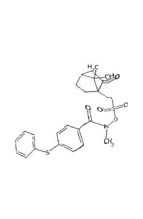 CN(OS(=O)(=O)CC12CCC(CC1=O)C2(C)C)C(=O)c1ccc(Sc2ccccc2)cc1